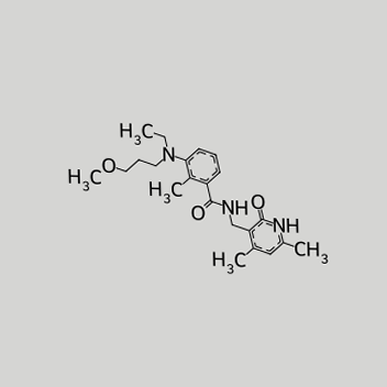 CCN(CCCOC)c1cccc(C(=O)NCc2c(C)cc(C)[nH]c2=O)c1C